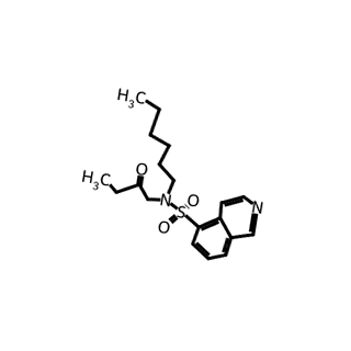 CCCCCCN(CC(=O)CC)S(=O)(=O)c1cccc2cnccc12